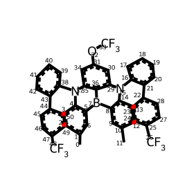 Cc1ccc2c(c1)B1c3cc(C)ccc3N(c3ccccc3-c3ccc(C(F)(F)F)cc3)c3cc(OC(F)(F)F)cc(c31)N2c1ccccc1-c1ccc(C(F)(F)F)cc1